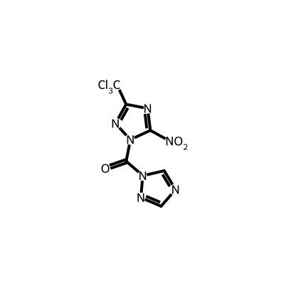 O=C(n1cncn1)n1nc(C(Cl)(Cl)Cl)nc1[N+](=O)[O-]